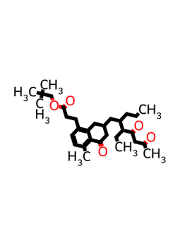 CCCC(CC1CC(=O)c2c(C)ccc(CCC(=O)OCC(C)(C)C)c2C1)C(CC)C(=O)CC(C)=O